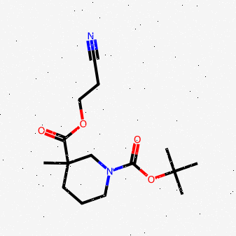 CC(C)(C)OC(=O)N1CCCC(C)(C(=O)OCCC#N)C1